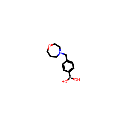 OB(O)c1ccc(CN2CCCOCC2)cc1